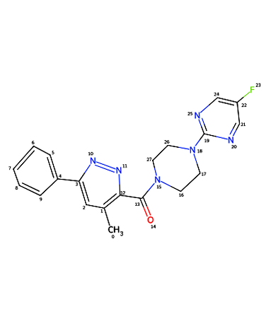 Cc1cc(-c2ccccc2)nnc1C(=O)N1CCN(c2ncc(F)cn2)CC1